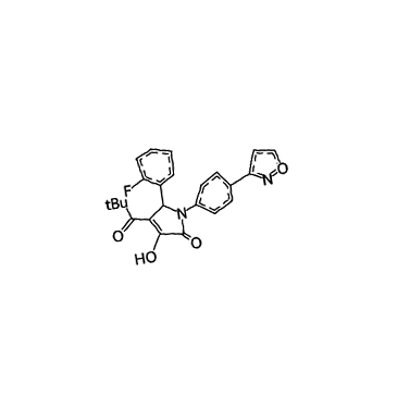 CC(C)(C)C(=O)C1=C(O)C(=O)N(c2ccc(-c3ccon3)cc2)C1c1ccccc1F